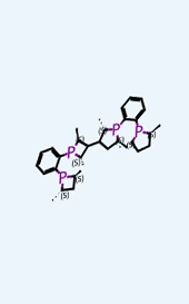 C[C@H]1CC[C@H](C)P1c1ccccc1P1[C@@H](C)CC(C2[C@H](C)P(c3ccccc3P3[C@@H](C)C[C@@H]3C)[C@H]2C)[C@@H]1C